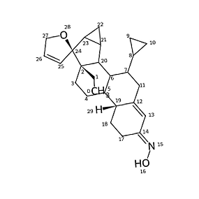 CC[C@]12CCC3C(C(C4CC4)CC4=CC(=NO)CC[C@@H]43)C1C1CC1[C@@]21C=CCO1